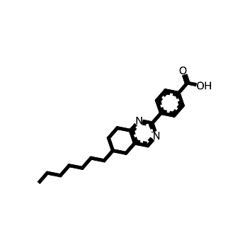 CCCCCCCC1CCc2nc(-c3ccc(C(=O)O)cc3)ncc2C1